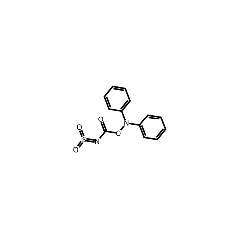 O=C(N=S(=O)=O)ON(c1ccccc1)c1ccccc1